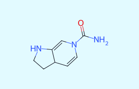 NC(=O)N1C=CC2CCNC2=C1